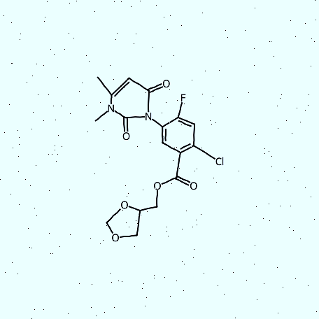 Cc1cc(=O)n(-c2cc(C(=O)OCC3COCO3)c(Cl)cc2F)c(=O)n1C